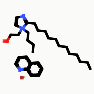 CCCCCCCCCCCCC1=NC=C[N+]1(CCO)CCCC.[Br-].c1ccc2ncccc2c1